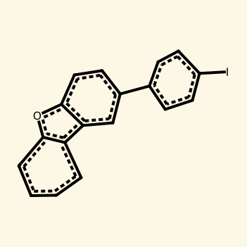 Ic1ccc(-c2ccc3oc4ccccc4c3c2)cc1